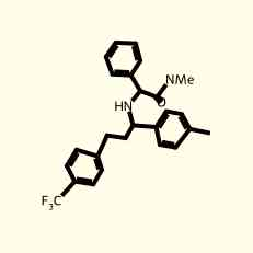 CNC(=O)C(NC(CCc1ccc(C(F)(F)F)cc1)c1ccc(C)cc1)c1ccccc1